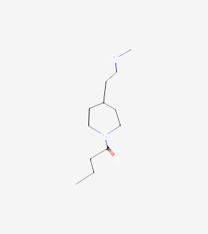 CCCC(=O)N1CCC(CCNC)CC1